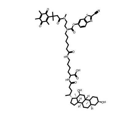 CC1=C(C)C(=O)C(C(C)(C)CC(=O)N(C)CCN(CCCCCC(=O)NCCCCC(NC(=O)CCC(C)[C@H]2CC[C@H]3[C@@H]4CC[C@@H]5C[C@H](O)CC[C@]5(C)[C@H]4C[C@H](O)[C@]23C)C(=O)O)C(=O)Oc2ccc3nc(C#N)sc3c2)=C(C)C1=O